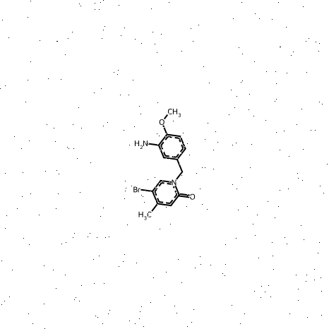 COc1ccc(Cn2cc(Br)c(C)cc2=O)cc1N